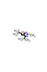 CSc1nc(C(C)C)c2cc(C(C)C)oc2n1